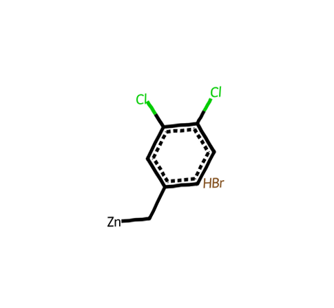 Br.Clc1ccc([CH2][Zn])cc1Cl